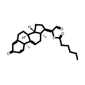 CCCCCC(=O)OC(C=O)=C1CC[C@H]2[C@@H]3CCC4=CC(=O)C=C[C@]4(C)C3=CC[C@]12C